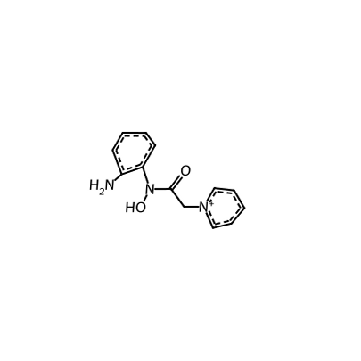 Nc1ccccc1N(O)C(=O)C[n+]1ccccc1